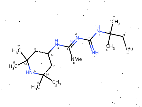 CN/C(=N\C(=N)NC(C)(C)CC(C)(C)C)NC1CC(C)(C)NC(C)(C)C1